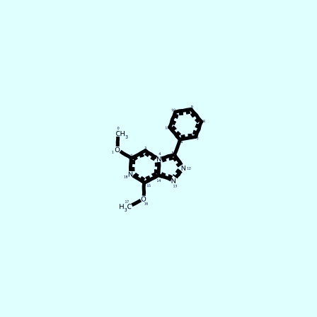 COc1cn2c(-c3ccccc3)nnc2c(OC)n1